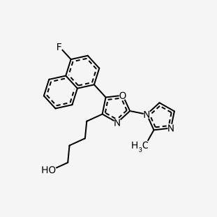 Cc1nccn1-c1nc(CCCCO)c(-c2ccc(F)c3ccccc23)o1